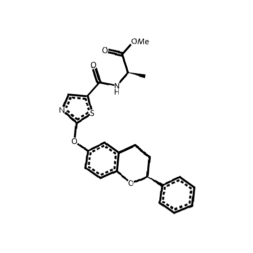 COC(=O)[C@@H](C)NC(=O)c1cnc(Oc2ccc3c(c2)CC[C@@H](c2ccccc2)O3)s1